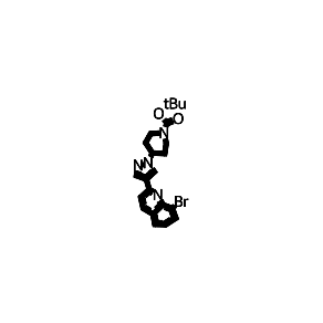 CC(C)(C)OC(=O)N1CCC(n2cc(-c3ccc4cccc(Br)c4n3)cn2)CC1